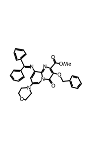 COC(=O)c1nc2c(N=C(c3ccccc3)c3ccccc3)cc(N3CCOCC3)cn2c(=O)c1OCc1ccccc1